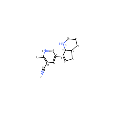 Cc1ncc(C2=CCC3CCCNC23)cc1C#N